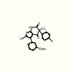 COc1cccc(-c2c(Cl)sc3c2C(=O)C(C)(c2ccc(F)cc2)C(=O)N3)c1